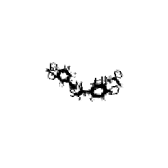 O=C1COc2ccc(-c3csc(-c4ccc5c(c4)OCO5)n3)cc2N1